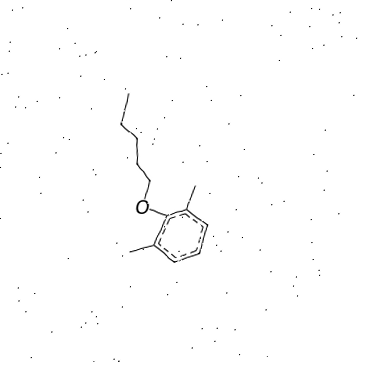 CCCCCOc1c(C)cccc1C